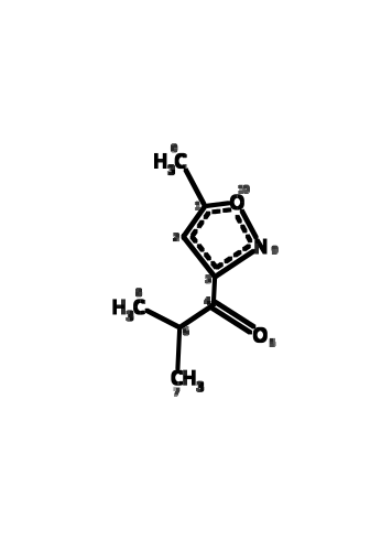 Cc1cc(C(=O)C(C)C)no1